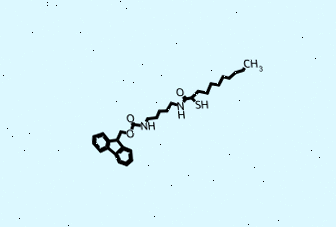 CCCCCCCCCC(S)C(=O)NCCCCCNC(=O)OCC1c2ccccc2-c2ccccc21